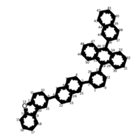 c1cc(-c2ccc3cc(-c4ccc5oc6ccccc6c5c4)ccc3c2)cc(-c2c3ccccc3c(-c3ccc4ccccc4c3)c3ccccc23)c1